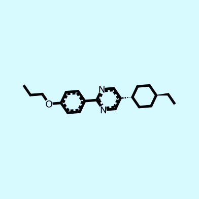 CCCOc1ccc(-c2ncc([C@H]3CC[C@H](CC)CC3)cn2)cc1